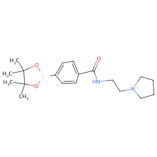 CC1(C)OB(c2ccc(C(=O)NCCN3CCCC3)cc2)OC1(C)C